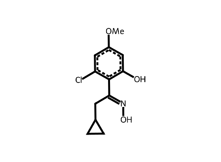 COc1cc(O)c(C(CC2CC2)=NO)c(Cl)c1